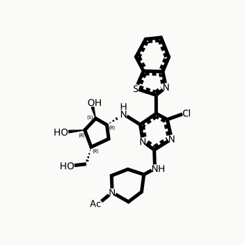 CC(=O)N1CCC(Nc2nc(Cl)c(-c3nc4ccccc4s3)c(N[C@@H]3C[C@H](CO)[C@@H](O)[C@H]3O)n2)CC1